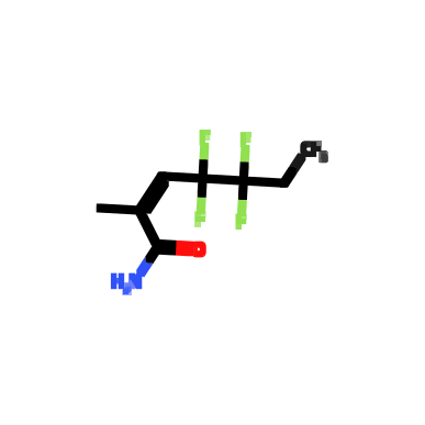 CC(=CC(F)(F)C(F)(F)CC(F)(F)F)C(N)=O